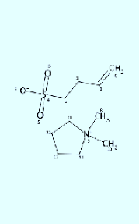 C=CCCS(=O)(=O)[O-].C[N+]1(C)CCCC1